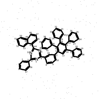 c1ccc(-c2nc(-c3cccc(-c4cc(-c5ccccc5)c(-c5ccccc5)c(-c5ccccc5)c4-c4ccccc4)c3)nc(-c3cccc4ccccc34)n2)cc1